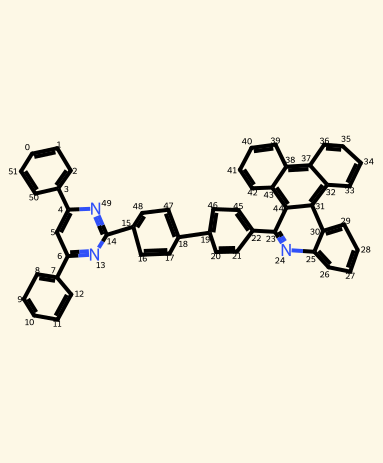 c1ccc(-c2cc(-c3ccccc3)nc(-c3ccc(-c4ccc(-c5nc6ccccc6c6c7ccccc7c7ccccc7c56)cc4)cc3)n2)cc1